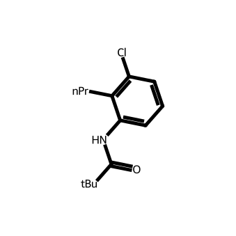 CCCc1c(Cl)cccc1NC(=O)C(C)(C)C